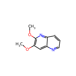 COc1cc2ncc[c]c2nc1OC